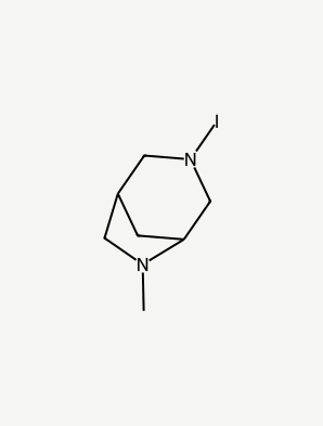 CN1CC2CC1CN(I)C2